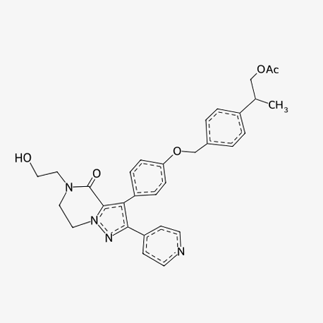 CC(=O)OCC(C)c1ccc(COc2ccc(-c3c(-c4ccncc4)nn4c3C(=O)N(CCO)CC4)cc2)cc1